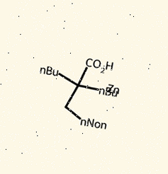 CCCCCCCCCCC(CCCC)(CCCC)C(=O)O.[Zn]